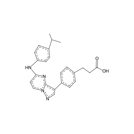 CC(C)c1ccc(Nc2ccn3ncc(-c4ccc(CCC(=O)O)cc4)c3n2)cc1